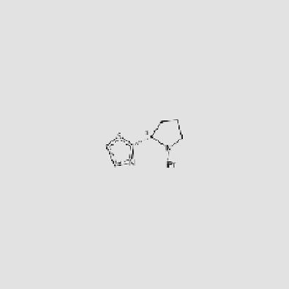 CC(C)N1CCC[C@H]1c1nccs1